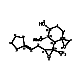 CO[C@@H]1[C@H](O)CC[C@]2(CO2)[C@H]1C1(C)OC1CC=C1CCCC1